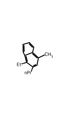 CCCc1[c]c(C)c2ccccc2c1CC